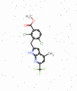 COC(=O)c1ccc(Cl)c(Cc2cc3c(C)cc(C(F)(F)F)nc3[nH]2)c1Cl